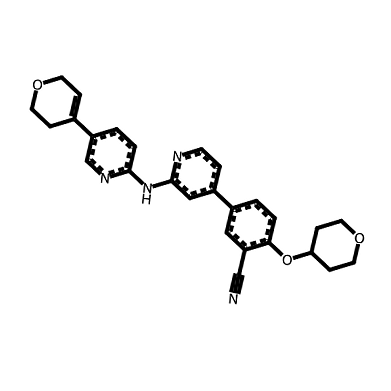 N#Cc1cc(-c2ccnc(Nc3ccc(C4=CCOCC4)cn3)c2)ccc1OC1CCOCC1